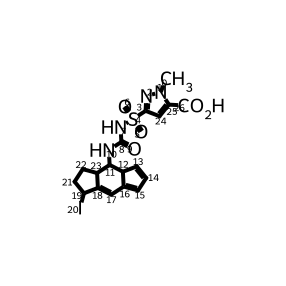 Cn1nc(S(=O)(=O)NC(=O)NC2C3C=CC=C3C=C3C(I)CCC32)cc1C(=O)O